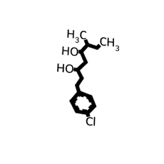 CCC(C)C(O)CC(O)CCc1ccc(Cl)cc1